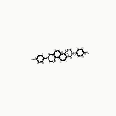 Cc1ccc(N2COc3c(ccc4c5c(ccc34)CN(c3ccc(C)cc3)CO5)C2)cc1